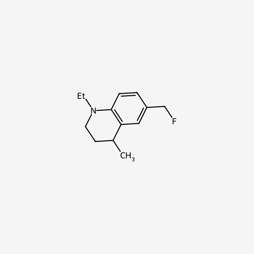 CCN1CCC(C)c2cc(CF)ccc21